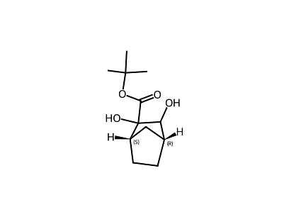 CC(C)(C)OC(=O)C1(O)C(O)[C@@H]2CC[C@H]1C2